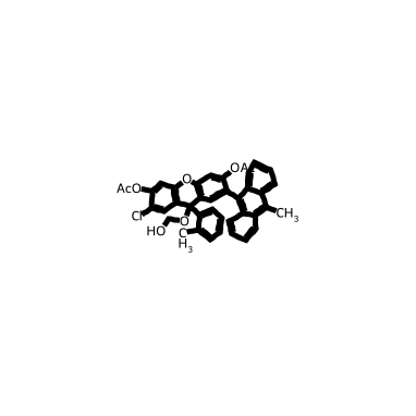 CC(=O)Oc1cc2c(cc1Cl)C(OCO)(c1ccccc1C)c1cc(-c3c4ccccc4c(C)c4ccccc34)c(OC(C)=O)cc1O2